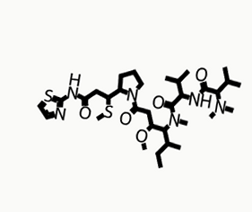 CCC(C)C(C(CC(=O)N1CCCC1C(CC(=O)Nc1nccs1)SC)OC)N(C)C(=O)C(NC(=O)C(C(C)C)N(C)C)C(C)C